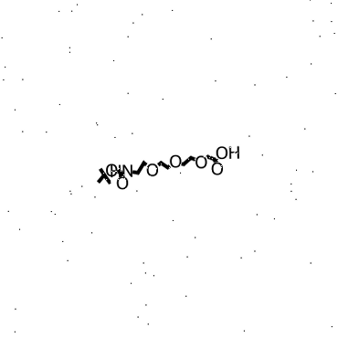 CC(C)(C)OC(=O)NCCOCCOCCOCC(=O)O